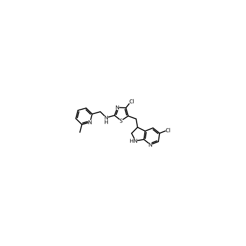 Cc1cccc(CNc2nc(Cl)c(CC3CNc4ncc(Cl)cc43)s2)n1